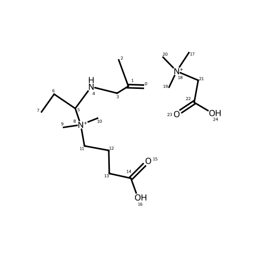 C=C(C)CNC(CC)[N+](C)(C)CCCC(=O)O.C[N+](C)(C)CC(=O)O